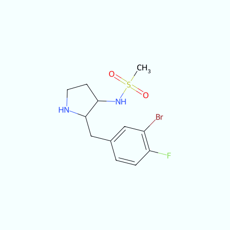 CS(=O)(=O)NC1CCNC1Cc1ccc(F)c(Br)c1